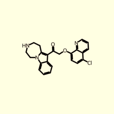 O=C(COc1ccc(Cl)c2cccnc12)c1c2n(c3ccccc13)CCNCC2